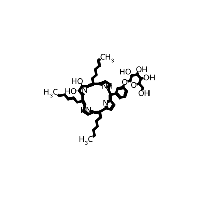 CCCCCCc1c2nc(c(-c3cccc(OC4OC(CO)C(O)C(O)C4O)c3)c3ccc([nH]3)c(CCCCCC)c3nc(c(CCCCCC)c4ccc1[nH]4)[C@H](O)[C@@H]3O)C=C2